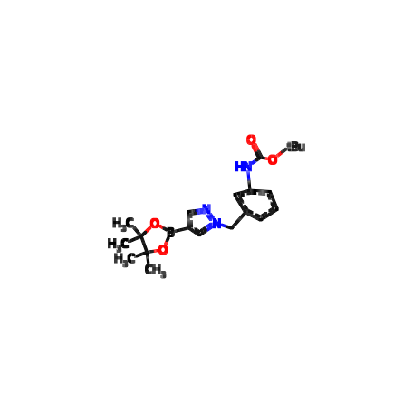 CC(C)(C)OC(=O)Nc1cccc(Cn2cc(B3OC(C)(C)C(C)(C)O3)cn2)c1